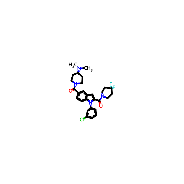 CN(C)C1CCN(C(=O)c2ccc3c(c2)cc(C(=O)N2CCC(F)(F)CC2)n3-c2cccc(Cl)c2)CC1